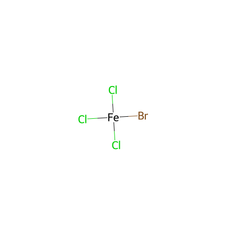 [Cl][Fe]([Cl])([Cl])[Br]